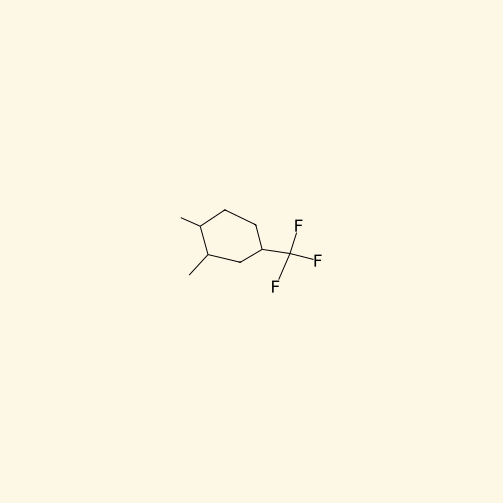 CC1CCC(C(F)(F)F)CC1C